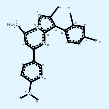 Cc1nn2c(C(=O)O)cc(-c3ccc(N(C)C)nc3)nc2c1-c1ccc(F)cc1F